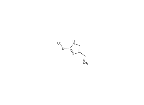 C=Cc1c[nH]c(OC)n1